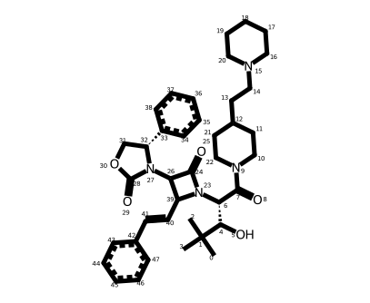 CC(C)(C)C(O)[C@@H](C(=O)N1CCC(CCN2CCCCC2)CC1)N1C(=O)C(N2C(=O)OC[C@@H]2c2ccccc2)C1C=Cc1ccccc1